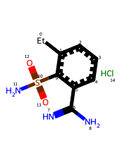 CCc1cccc(C(=N)N)c1S(N)(=O)=O.Cl